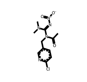 CC(=O)N(Cc1ccc(Cl)nc1)/C(=N/[N+](=O)[O-])N(C)C